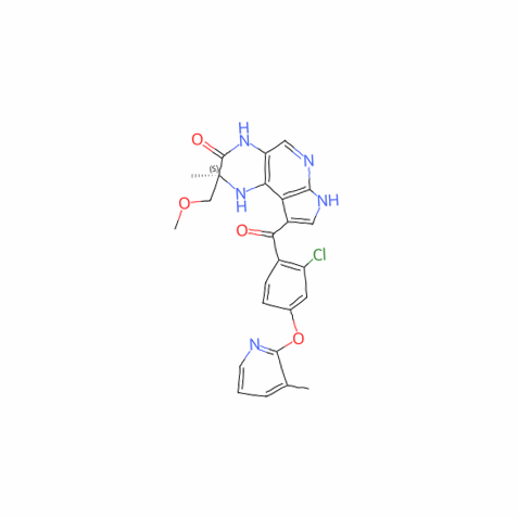 COC[C@]1(C)Nc2c(cnc3[nH]cc(C(=O)c4ccc(Oc5ncccc5C)cc4Cl)c23)NC1=O